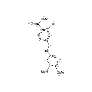 CNC(CC(=O)NCc1ccc(C(=O)OC)c(O)c1)C(=O)OC